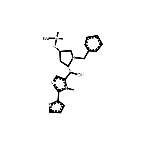 Cn1c(C(O)[C@@H]2C[C@@H](O[Si](C)(C)C(C)(C)C)CN2Cc2ccccc2)cnc1-c1cccs1